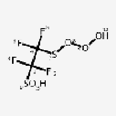 O=S(=O)(O)C(F)(F)C(F)(F)SOOO